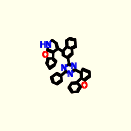 C1=C(c2cc(-c3nc(-c4ccccc4)nc(-c4cccc5oc6ccccc6c45)n3)cc3ccccc23)c2c(oc3ccccc23)NC1